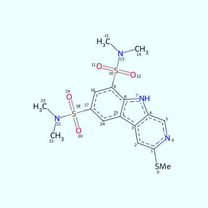 CSc1cc2c(cn1)[nH]c1c(S(=O)(=O)N(C)C)cc(S(=O)(=O)N(C)C)cc12